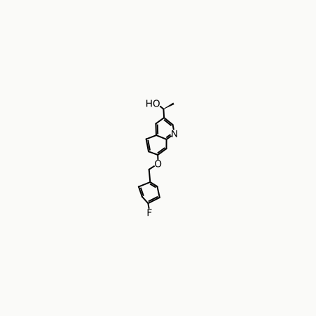 C[C@H](O)c1cnc2cc(OCc3ccc(F)cc3)ccc2c1